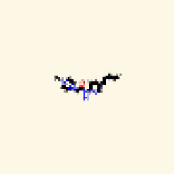 C=C/C=C\C=C1\C=NC(NC(=O)CN2CCN(C(C)C)CC2)=CC1